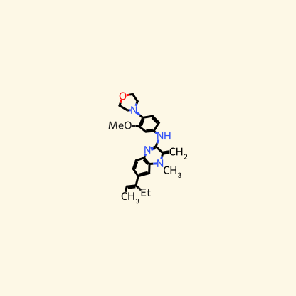 C=C1C(Nc2ccc(N3CCOCC3)c(OC)c2)=Nc2ccc(/C(=C/C)CC)cc2N1C